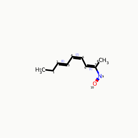 CC/C=C/C=C\C=C(/C)N=O